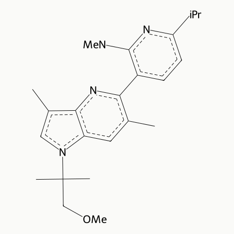 CNc1nc(C(C)C)ccc1-c1nc2c(C)cn(C(C)(C)COC)c2cc1C